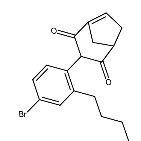 CCCCc1cc(Br)ccc1C1C(=O)C2=CCC(C2)C1=O